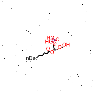 CCCCCCCCCCCCCCC(=O)O[C@@H](COCO)COP(=O)(O)O